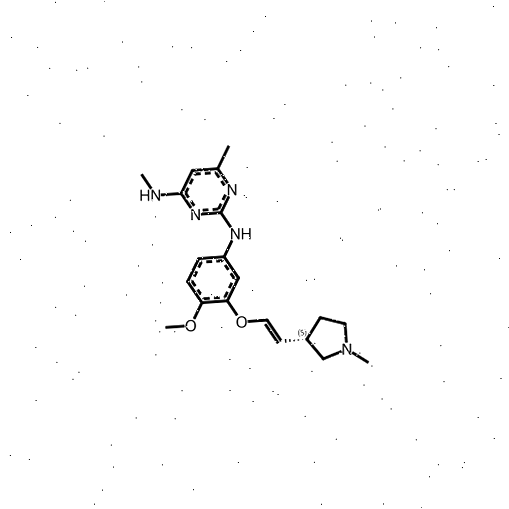 CNc1cc(C)nc(Nc2ccc(OC)c(OC=C[C@@H]3CCN(C)C3)c2)n1